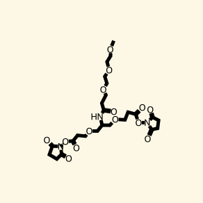 COCCOCCOCCC(=O)NC(COCCC(=O)ON1C(=O)CCC1=O)COCCC(=O)ON1C(=O)CCC1=O